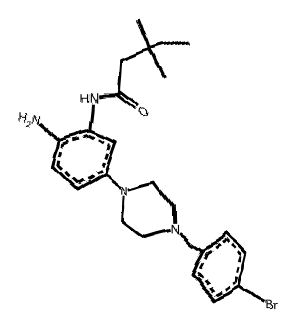 CC(C)(C)CC(=O)Nc1cc(N2CCN(c3ccc(Br)cc3)CC2)ccc1N